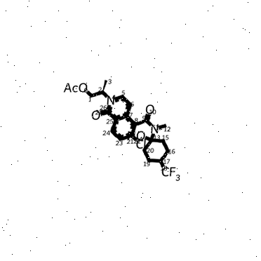 CC(=O)OC[C@@H](C)n1ccc2c(C(=O)N(C)C3(O)CCC(C(F)(F)F)CC3)c(Cl)ccc2c1=O